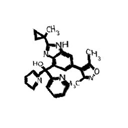 Cc1noc(C)c1-c1cc(C(O)(c2ccccn2)c2ccccn2)c2nc(C3(C)CC3)[nH]c2c1